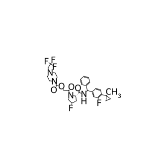 CC1(c2ccc([C@@H](NC(=O)[C@@H]3C[C@@H](F)CN3C(=O)COC(=O)N3CCN(CC(F)(F)F)CC3)c3ccccc3)cc2F)CC1